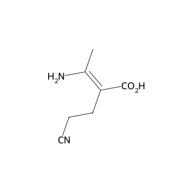 CC(N)=C(CCC#N)C(=O)O